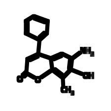 Cc1c(O)c(N)cc2c(-c3ccccc3)cc(=O)oc12